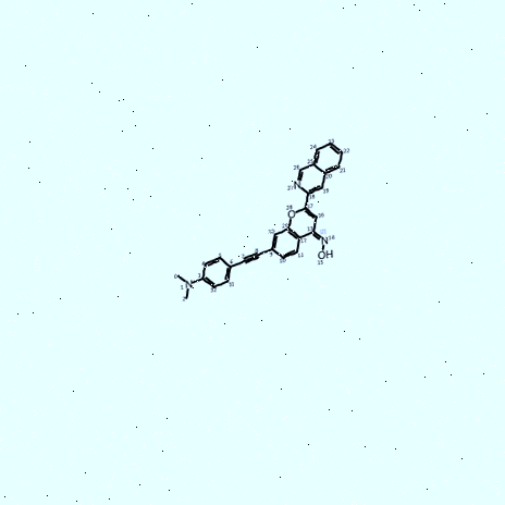 CN(C)c1ccc(C#Cc2ccc3/c(=N\O)cc(-c4cc5ccccc5cn4)oc3c2)cc1